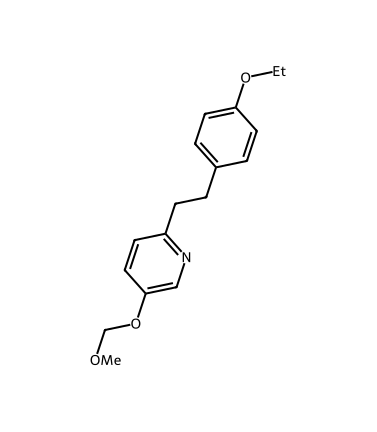 CCOc1ccc(CCc2ccc(OCOC)cn2)cc1